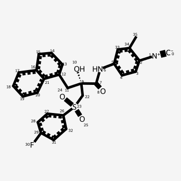 [C-]#[N+]c1ccc(NC(=O)[C@](O)(Cc2cccc3ccccc23)CS(=O)(=O)c2ccc(F)cc2)cc1C